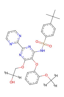 [2H]C([2H])(O)COc1nc(-c2ncccn2)nc(NS(=O)(=O)c2ccc(C(C)(C)C)cc2)c1Oc1ccccc1OC([2H])([2H])[2H]